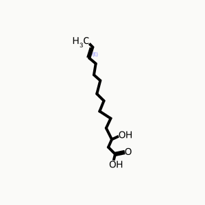 C/C=C/CCCCCCCCC(O)CC(=O)O